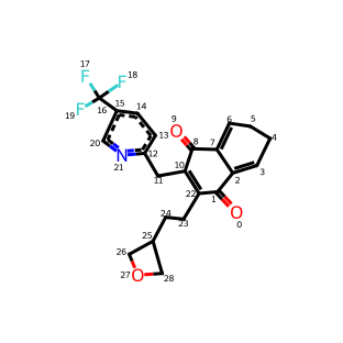 O=C1C2=CCCC=C2C(=O)C(Cc2ccc(C(F)(F)F)cn2)=C1CCC1COC1